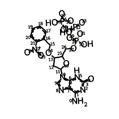 Nc1nc(=O)[nH]c2c1ncn2C1CC(OCc2ccccc2[N+](=O)[O-])C(COP(=O)(O)OP(=O)(O)OP(=O)(O)O)O1